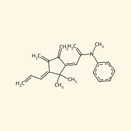 C=C/C=C1\C(=C)C(=C)/C(=C\C(=C)N(C)c2ccccc2)C1(C)C